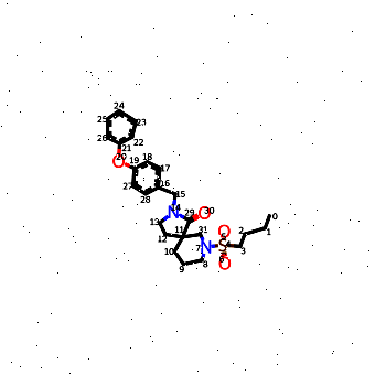 CCCCS(=O)(=O)N1CCCC2(CCN(Cc3ccc(Oc4ccccc4)cc3)C2=O)C1